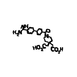 N=C(N)c1ccc(-c2ccc(C(=O)N3CCC(CC(=O)O)(CC(=O)O)CC3)cc2)cc1